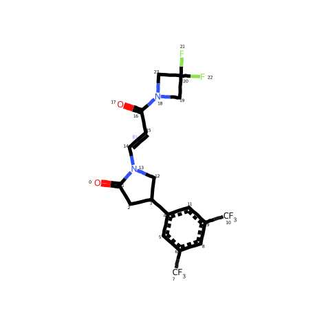 O=C1CC(c2cc(C(F)(F)F)cc(C(F)(F)F)c2)CN1/C=C/C(=O)N1CC(F)(F)C1